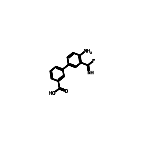 N=C(F)c1cc(-c2cccc(C(=O)O)c2)ccc1N